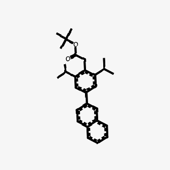 CC(C)c1cc(-c2ccc3ccccc3c2)cc(C(C)C)c1CC(=O)OC(C)(C)C